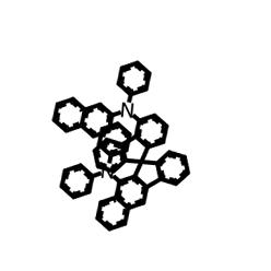 c1ccc(N(c2ccc3ccccc3c2)c2cccc3c2-c2ccccc2C32c3ccccc3-c3cc4ccccc4c(N(c4ccccc4)c4ccccc4)c32)cc1